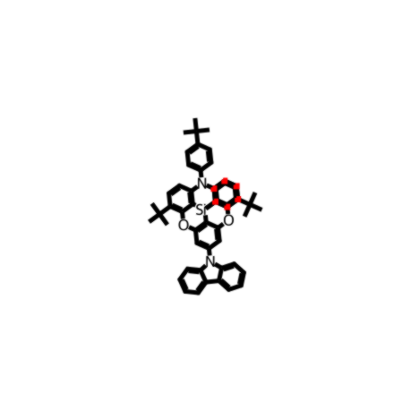 CC(C)(C)c1ccc(N2c3ccc(C(C)(C)C)c4c3[Si]3(c5ccccc5)c5c(cc(-n6c7ccccc7c7ccccc76)cc5Oc5c(C(C)(C)C)ccc2c53)O4)cc1